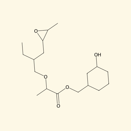 CCC(COC(C)C(=O)OCC1CCCC(O)C1)CC1OC1C